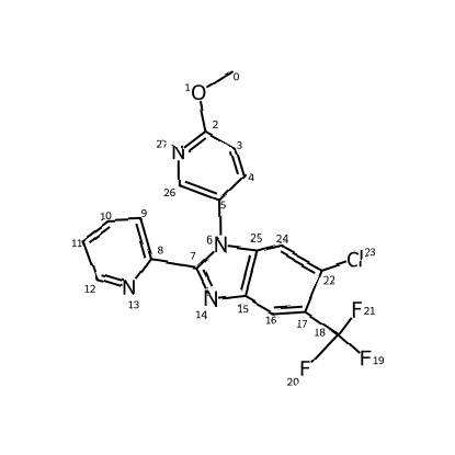 COc1ccc(-n2c(-c3ccccn3)nc3cc(C(F)(F)F)c(Cl)cc32)cn1